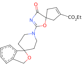 CCOC(=O)C1=CCC2(C1)OC(N1CCC3(CC1)OCc1ccccc13)=NC2=O